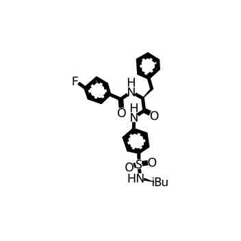 CC[C@H](C)NS(=O)(=O)c1ccc(NC(=O)[C@H](Cc2ccccc2)NC(=O)c2ccc(F)cc2)cc1